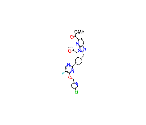 COC(=O)c1ccc2nc(CC3CC=C(c4ncc(F)c(OCc5ccc(Cl)cn5)n4)CC3)n(CC3CCO3)c2n1